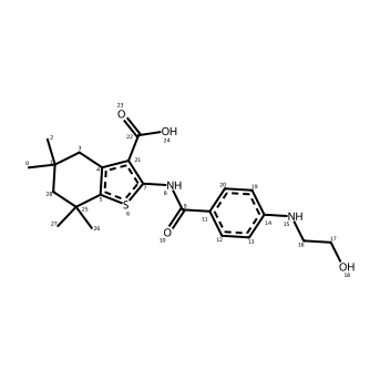 CC1(C)Cc2c(sc(NC(=O)c3ccc(NCCO)cc3)c2C(=O)O)C(C)(C)C1